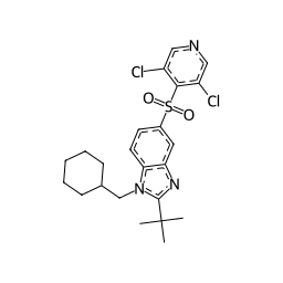 CC(C)(C)c1nc2cc(S(=O)(=O)c3c(Cl)cncc3Cl)ccc2n1CC1CCCCC1